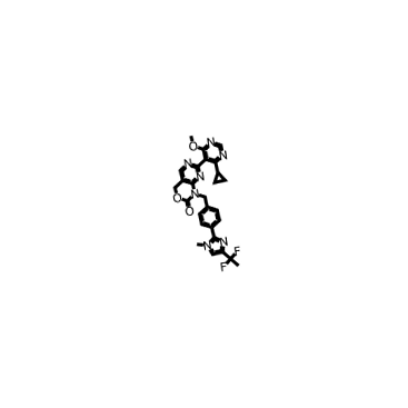 COc1ncnc(C2CC2)c1-c1ncc2c(n1)N(Cc1ccc(-c3nc(C(C)(F)F)cn3C)cc1)C(=O)OC2